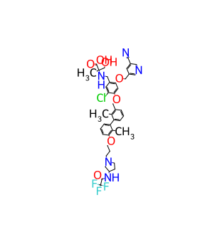 Cc1c(COc2cc(OCc3cncc(C#N)c3)c(CN[C@@](C)(CO)C(=O)O)cc2Cl)cccc1-c1cccc(OCCCN2CCC(NC(=O)C(F)(F)F)C2)c1C